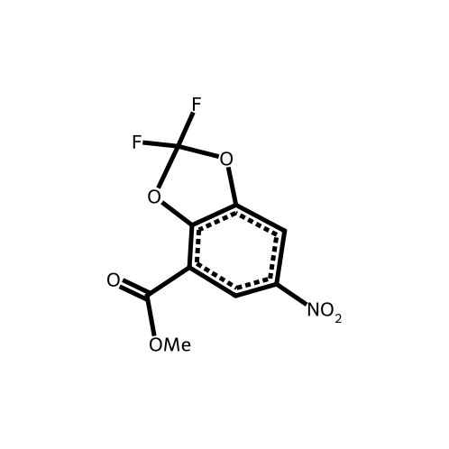 COC(=O)c1cc([N+](=O)[O-])cc2c1OC(F)(F)O2